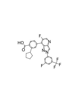 O=C(O)c1ccc(-c2c(F)cnc3cn(-c4cc(F)cc(C(F)(F)F)c4)nc23)cc1C1CCCC1